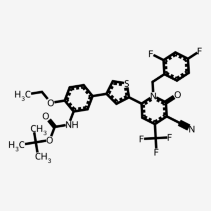 CCOc1ccc(-c2csc(-c3cc(C(F)(F)F)c(C#N)c(=O)n3Cc3ccc(F)cc3F)c2)cc1NC(=O)OC(C)(C)C